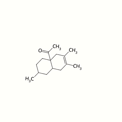 CC(=O)C12CCC(C)CC1CC(C)=C(C)C2